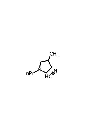 C#N.CCCN1CCC(C)C1